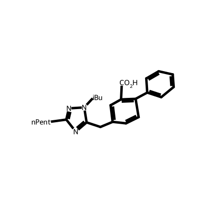 CCCCCc1nc(Cc2ccc(-c3ccccc3)c(C(=O)O)c2)n(C(C)CC)n1